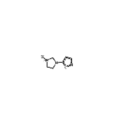 [O-][NH+]1CCN(c2ccno2)C1